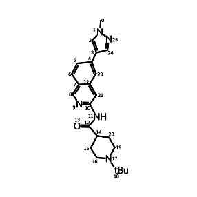 Cn1cc(-c2ccc3cnc(NC(=O)C4CCN(C(C)(C)C)CC4)cc3c2)cn1